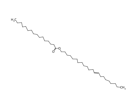 CCCCCCCCC=CCCCCCCCCCCCCOC(=O)CCCCCCCCCCCCCCC